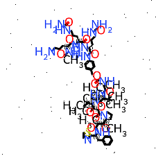 CC[C@H](C)[C@@H]([C@@H](CC(=O)N1CCC[C@H]1[C@H](OC)[C@@H](C)C(=O)N[C@@H](Cc1ccccc1)c1nccs1)OC)N(C)C(=O)[C@@H](NC(=O)C(C)(C)NC(=O)OCc1ccc(NC(=O)[C@H](CCCNC(N)=O)NC(=O)[C@H](CCCNC(N)=O)NC(=O)[C@H](CCCN)NC(C)=O)cc1)C(C)C